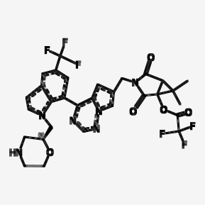 CC1(C)C2C(=O)N(Cc3cc4c(-c5cc(C(F)(F)F)cc6ccn(C[C@@H]7CNCCO7)c56)ncnn4c3)C(=O)C21OC(=O)C(F)(F)F